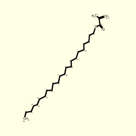 C=C(C)C(=O)OCCCCCCCCCCCCCCCCCCCCCCC